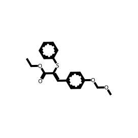 CCOC(=O)C(=Cc1ccc(OCOC)cc1)Sc1ccccc1